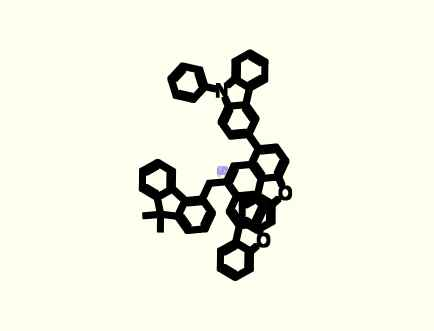 CC1(C)c2ccccc2-c2c(C/C(=C/c3c(-c4ccc5c(c4)c4ccccc4n5-c4ccccc4)ccc4oc5ccccc5c34)c3ccc4oc5ccccc5c4c3)cccc21